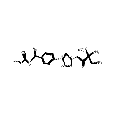 CC(C)(C)OC(=O)NC(=N)c1ccc([C@@H]2C[C@H](CC(=O)C(N)(CN)C(=O)O)ON2)cc1